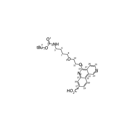 CC(C)(C)OC(=O)NCCCCOCCOc1nc2cc(C(=O)O)ccc2c2cnccc12